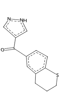 O=C(c1cn[nH]c1)c1ccc2c(c1)CCCS2